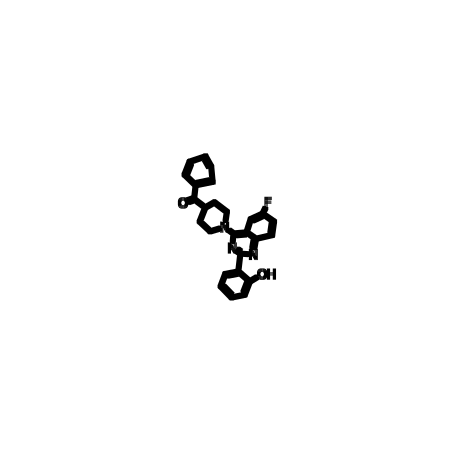 O=C(c1ccccc1)C1CCN(c2nc(-c3ccccc3O)nc3ccc(F)cc23)CC1